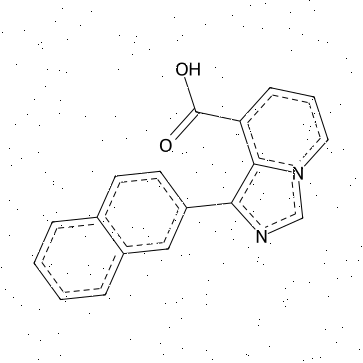 O=C(O)c1cccn2cnc(-c3ccc4ccccc4c3)c12